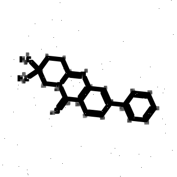 CC1(C)CCc2nc3cc(-c4ccccc4)ccc3c(=O)n2C1